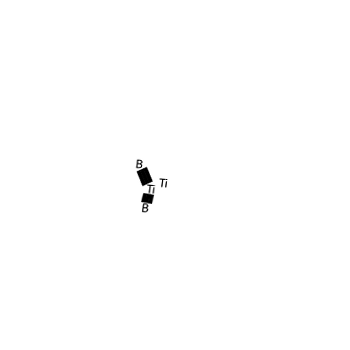 [B]#[Ti]#[B].[Ti]